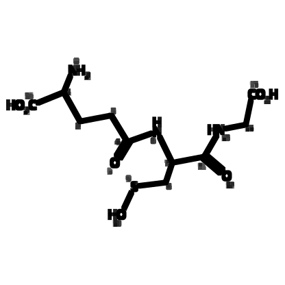 NC(CCC(=O)NC(CSO)C(=O)NCC(=O)O)C(=O)O